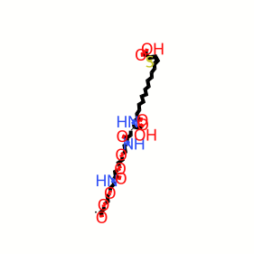 O=[C]COCCOCCNC(=O)COCCOCCNC(=O)CC[C@H](NC(=O)CCCCCCCCCCCCc1ccc(C(=O)O)s1)C(=O)O